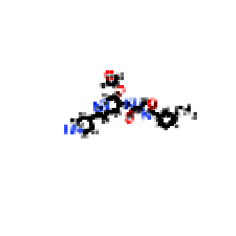 Cc1cccc(-c2nc(C(=O)Nc3cc4cc(C5CCNCC5)nn4cc3OC3COC3)co2)c1